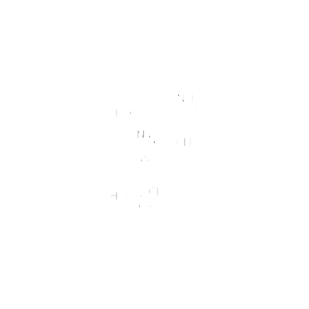 Cc1nn(COCC[Si](C)(C)C)c2c(C)cc(N)cc12